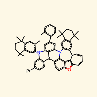 Cc1ccccc1-c1cc2c3c(c1)N1c4cc5c(cc4C4C=CC=Cc6oc7ccc(c1c7c64)B3c1ccc(C(C)C)cc1N2c1cc2c(cc1C)C(C)(C)CCC2(C)C)C(C)(C)CCC5(C)C